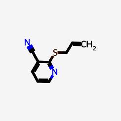 C=CCSc1ncccc1C#N